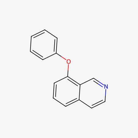 c1ccc(Oc2cccc3ccncc23)cc1